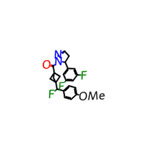 COc1ccc(C(F)C23CC(C(=O)N4N=CCC4c4cc(F)cc(F)c4)(C2)C3)cc1